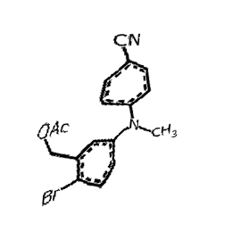 CC(=O)OCc1cc(N(C)c2ccc(C#N)cc2)ccc1Br